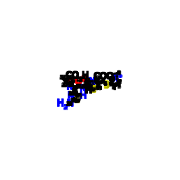 C[n+]1cccc(SCC2=C(C(=O)[O-])N3C(=O)[C@@H](NC(=O)/C(=N\OC(C)(C)C(=O)O)c4csc(N)n4)[C@H]3SC2)c1